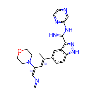 C=N/C=C(\C=C(/C)c1ccc2[nH]nc(C(=N)Nc3cnccn3)c2c1)N1CCOCC1